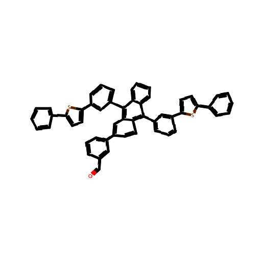 O=Cc1cccc(-c2ccc3c(-c4cccc(-c5ccc(-c6ccccc6)s5)c4)c4ccccc4c(-c4cccc(-c5ccc(-c6ccccc6)s5)c4)c3c2)c1